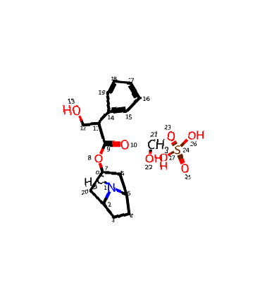 CN1C2CCC1CC(OC(=O)C(CO)c1ccccc1)C2.CO.O=S(=O)(O)O